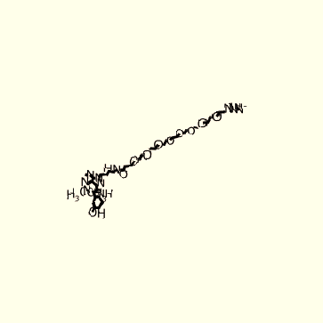 CN(C)c1ncnc2c1c(-c1cc3cc(O)ccc3[nH]1)nn2CCCCNC(=O)CCOCCOCCOCCOCCOCCOCCOCCOCCN=[N+]=[N-]